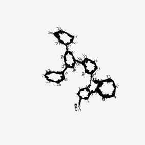 Brc1ccc2c(c1)c1ccccc1n2-c1cccc(-c2cc(-c3ccccc3)cc(-c3ccccc3)c2)c1